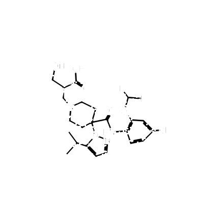 CC(C)c1ccnn1C1(C(=O)Nc2ccc(Cl)cc2OC(F)F)CCN(C[C@@H](CO)C(=O)O)CC1